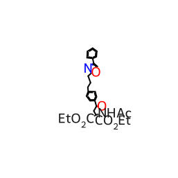 CCOC(=O)C(CC(=O)c1ccc(CCCc2nc(-c3ccccc3)co2)cc1)(NC(C)=O)C(=O)OCC